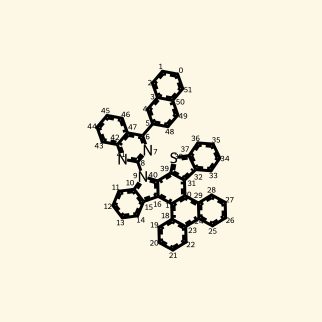 c1ccc2cc(-c3nc(-n4c5ccccc5c5c6c7ccccc7c7ccccc7c6c6c7ccccc7sc6c54)nc4ccccc34)ccc2c1